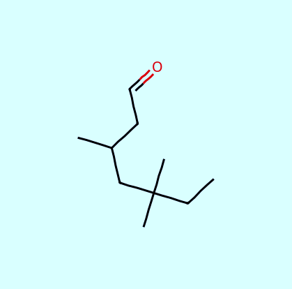 CCC(C)(C)CC(C)CC=O